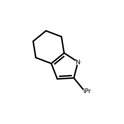 CC(C)C1=CC2=C(CCCC2)[N]1